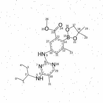 CCC(CC)Nc1nc(Nc2cc(C)c(B3OCC(C)(C)O3)c(C(=O)OC)c2)ncc1C